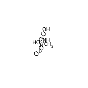 CC(NC(=O)c1ccc(O)cc1)C(CO)N1CCN(Cc2ccccc2)CC1